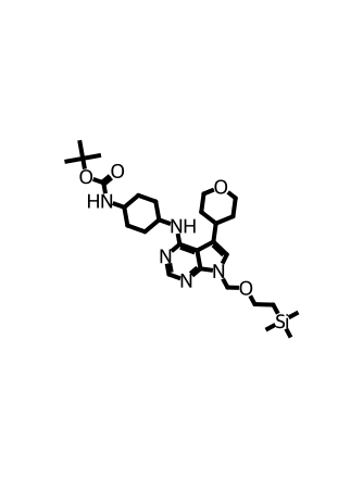 CC(C)(C)OC(=O)NC1CCC(Nc2ncnc3c2c(C2CCOCC2)cn3COCC[Si](C)(C)C)CC1